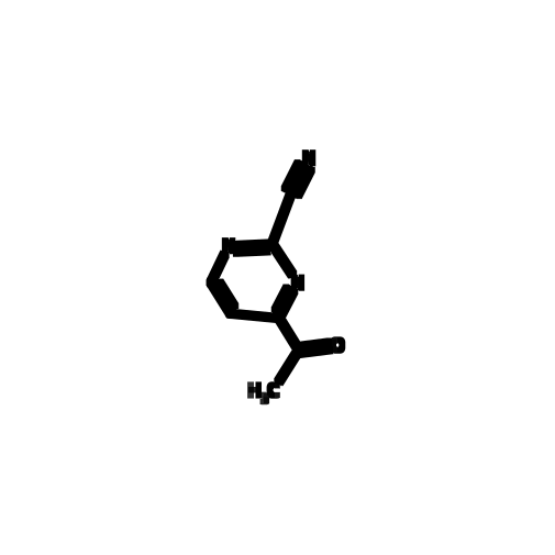 CC(=O)c1ccnc(C#N)n1